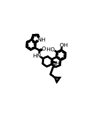 O=C(NC1CCC2(O)C3Cc4ccc(O)c(O)c4C2(CCN3CC2CC2)C1)c1cccc2cc[nH]c12